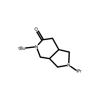 CC(C)N1CC2CC(=O)N(C(C)(C)C)CC2C1